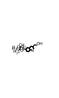 CC1(C)OB(c2ccc3ncc(CCO)cc3c2)OC1(C)C